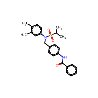 Cc1ccc(N(Cc2ccc(NC(=O)c3ccccc3)cc2)S(=O)(=O)C(C)C)cc1C